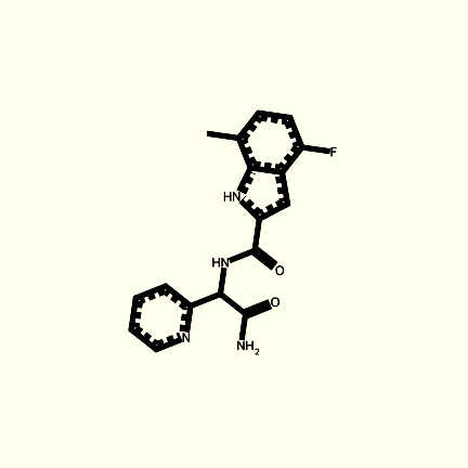 Cc1ccc(F)c2cc(C(=O)NC(C(N)=O)c3ccccn3)[nH]c12